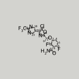 CC(Oc1ccc(F)c(C(N)=O)c1F)c1nc(-c2cnc(C(F)(F)F)nc2)c(Cl)o1